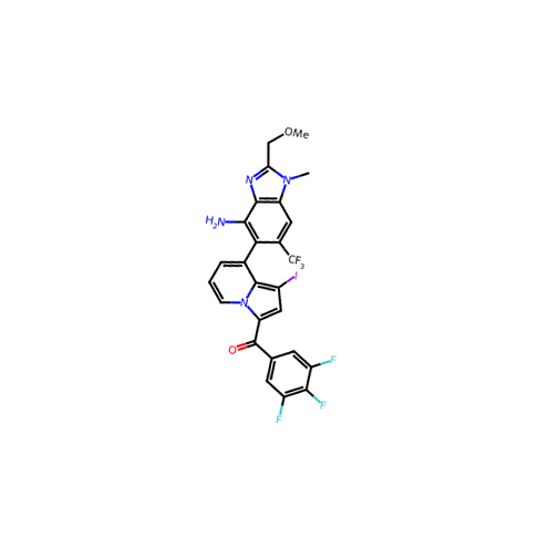 COCc1nc2c(N)c(-c3cccn4c(C(=O)c5cc(F)c(F)c(F)c5)cc(I)c34)c(C(F)(F)F)cc2n1C